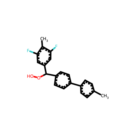 Cc1ccc(-c2ccc(C(OO)c3cc(F)c(C)c(F)c3)cc2)cc1